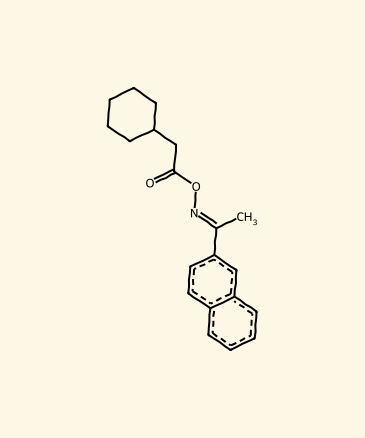 C/C(=N\OC(=O)CC1CCCCC1)c1ccc2ccccc2c1